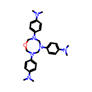 CN(C)c1ccc(N2COCN(c3ccc(N(C)C)cc3)CN(c3ccc(N(C)C)cc3)C2)cc1